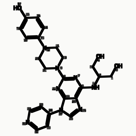 OCC(CO)Nc1nc(N2CCN(c3ccc(O)cc3)CC2)nc2c1ncn2-c1ccncc1